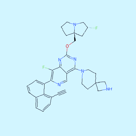 C#Cc1cccc2cccc(-c3ncc4c(N5CCC6(CC5)CNC6)nc(OC[C@@]56CCCN5C[C@H](F)C6)nc4c3F)c12